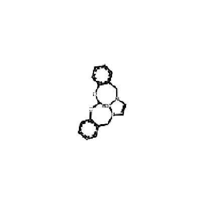 C1=CN2Cc3ccccc3OC3Oc4ccccc4CN1[SiH]32